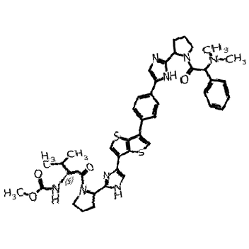 COC(=O)N[C@H](C(=O)N1CCCC1c1nc(-c2csc3c(-c4ccc(-c5cnc(C6CCCN6C(=O)C(c6ccccc6)N(C)C)[nH]5)cc4)csc23)c[nH]1)C(C)C